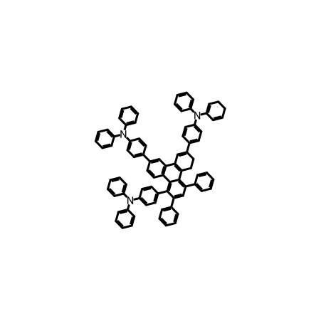 C1=CC(N(c2ccccc2)c2ccc(C3=Cc4c(c5c(-c6ccccc6)cc(-c6ccccc6)c(-c6ccc(N(c7ccccc7)c7ccccc7)cc6)c5c5ccc(-c6ccc(N(c7ccccc7)c7ccccc7)cc6)cc45)CC3)cc2)=CCC1